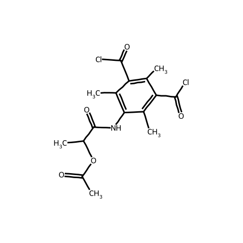 CC(=O)OC(C)C(=O)Nc1c(C)c(C(=O)Cl)c(C)c(C(=O)Cl)c1C